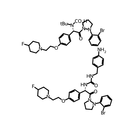 CC(C)(C)N(C(=O)O)[C@H](C(=O)N1CCCN1c1ccccc1Br)c1ccc(OCCN2CCC(F)CC2)cc1.Nc1ccc(CNC(=O)N[C@H](C(=O)N2CCCN2c2ccccc2Br)c2ccc(OCCN3CCC(F)CC3)cc2)cc1